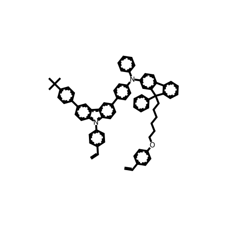 C=Cc1ccc(OCCCCCCC2(c3ccccc3)c3ccccc3-c3ccc(N(c4ccccc4)c4ccc(-c5ccc6c(c5)c5cc(-c7ccc(C(C)(C)C)cc7)ccc5n6-c5ccc(C=C)cc5)cc4)cc32)cc1